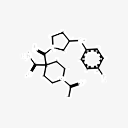 CC(=O)N1CCC(C(N)=O)(C(=O)N2CCC(Sc3ccc(F)cc3)C2)CC1